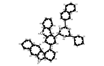 c1ccc(-c2nc(-c3ccc4ccccc4c3)nc(-c3cc(-c4cccc5oc6cc7ccccc7cc6c45)cc4oc5ccccc5c34)n2)cc1